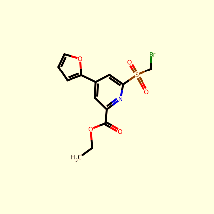 CCOC(=O)c1cc(-c2ccco2)cc(S(=O)(=O)CBr)n1